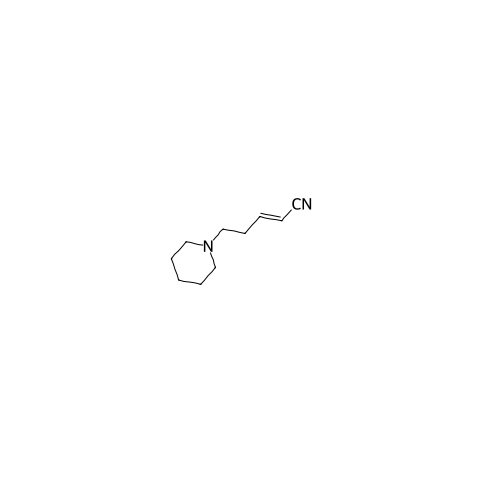 N#C/C=C/CCN1CCCCC1